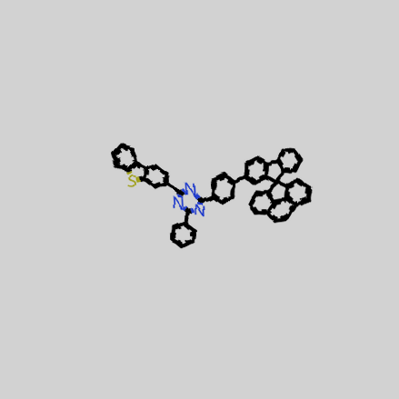 c1ccc(-c2nc(-c3ccc(-c4ccc5c(c4)C4(c6ccccc6-5)c5cccc6ccc7cccc4c7c56)cc3)nc(-c3ccc4c(c3)sc3ccccc34)n2)cc1